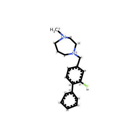 CN1CCCN(Cc2ccc(-c3ccccc3)c(F)c2)CC1